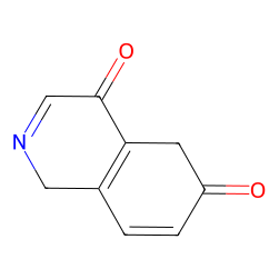 O=C1C=CC2=C(C1)C(=O)C=NC2